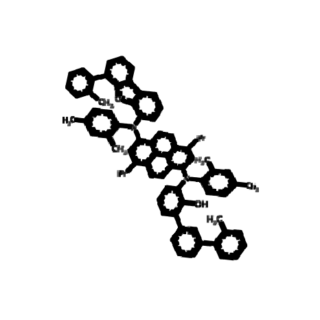 Cc1ccc(N(c2cccc(-c3cccc(-c4ccccc4C)c3)c2O)c2cc(C(C)C)c3ccc4c(N(c5ccc(C)cc5C)c5cccc6c5oc5c(-c7ccccc7C)cccc56)cc(C(C)C)c5ccc2c3c54)c(C)c1